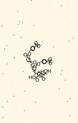 C[C@@H](O)[C@H]1C(=O)N2C(C(=O)O)=C(S[C@H]3C[C@@H](CS[C@H]4CCN(C(=O)OCc5ccc([N+](=O)[O-])cc5)C4)N(C(=O)OCc4ccc([N+](=O)[O-])cc4)C3)[C@H](C)[C@H]12